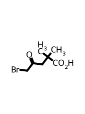 CC(C)(CC(=O)CBr)C(=O)O